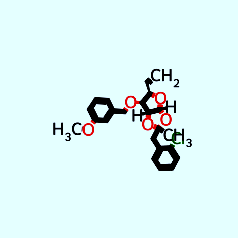 C=C[C@H]1O[C@@H]2OC(C)(Cc3ccccc3Cl)O[C@@H]2[C@H]1OCc1cccc(OC)c1